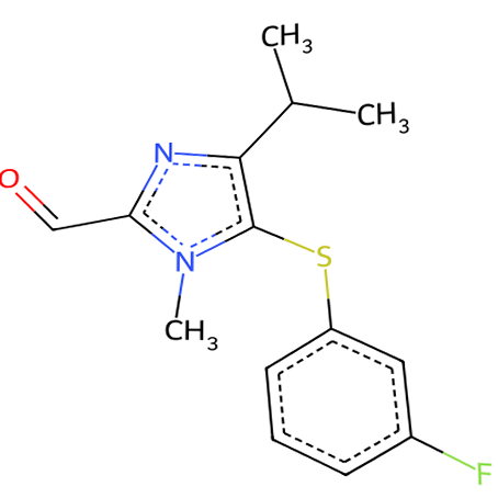 CC(C)c1nc(C=O)n(C)c1Sc1cccc(F)c1